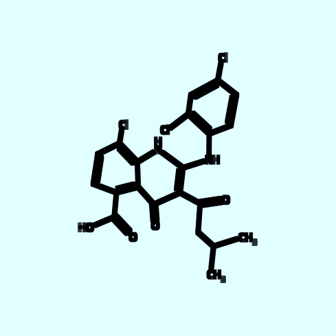 CC(C)CC(=O)c1c(Nc2ccc(Cl)cc2Cl)[nH]c2c(Cl)ccc(C(=O)O)c2c1=O